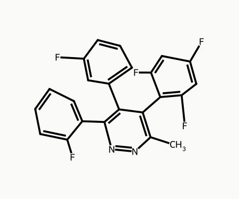 Cc1nnc(-c2ccccc2F)c(-c2cccc(F)c2)c1-c1c(F)cc(F)cc1F